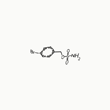 NS(=O)(=O)OCc1ccc(Br)cc1